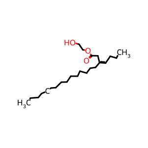 CCCC=C(CCCCCCCCCCCCCCC)CC(=O)OCCO